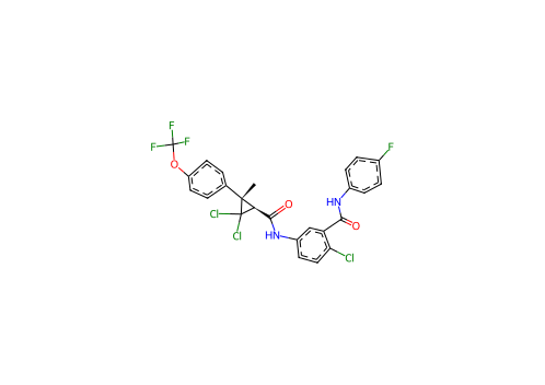 C[C@@]1(c2ccc(OC(F)(F)F)cc2)[C@@H](C(=O)Nc2ccc(Cl)c(C(=O)Nc3ccc(F)cc3)c2)C1(Cl)Cl